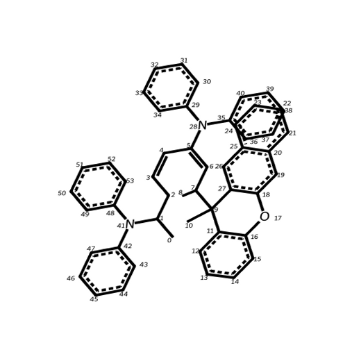 CC(C/C=C\C(=C/C(C)C1(C)c2ccccc2Oc2cc3ccccc3cc21)N(c1ccccc1)c1ccccc1)N(c1ccccc1)c1ccccc1